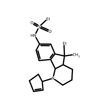 CCC1(C)c2cc(NS(=O)(=O)CC)ccc2C2C1CCCN2C1C=CCC1